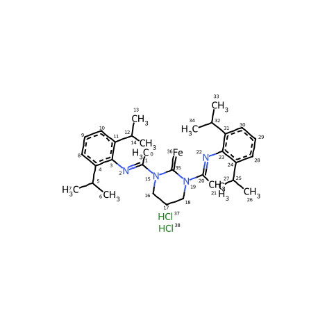 CC(=Nc1c(C(C)C)cccc1C(C)C)N1CCCN(C(C)=Nc2c(C(C)C)cccc2C(C)C)[C]1=[Fe].Cl.Cl